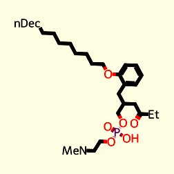 CCCCCCCCCCCCCCCCCCOc1ccccc1CC(COP(=O)(O)OCCNC)CC(=O)CC